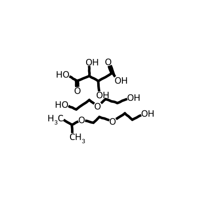 CC(C)OCCOCCO.O=C(O)C(O)C(O)C(=O)O.OCCOCCO